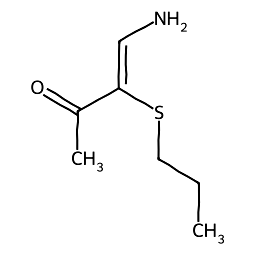 CCCS/C(=C\N)C(C)=O